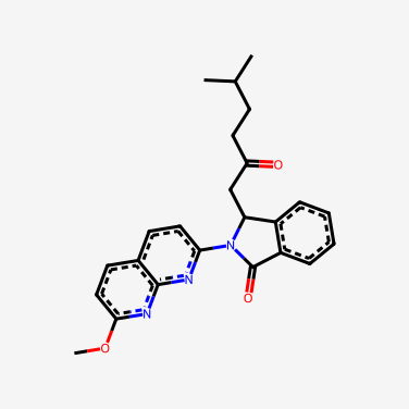 COc1ccc2ccc(N3C(=O)c4ccccc4C3CC(=O)CCC(C)C)nc2n1